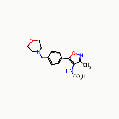 Cc1noc(-c2ccc(CN3CCOCC3)cc2)c1NC(=O)O